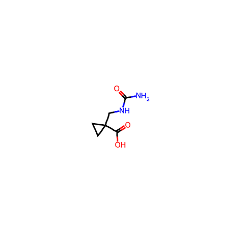 NC(=O)NCC1(C(=O)O)CC1